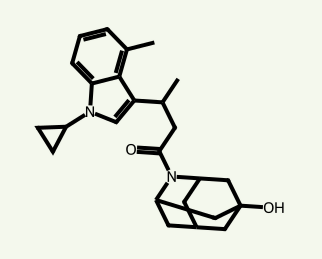 Cc1cccc2c1c(C(C)CC(=O)N1C3CC4CC1CC(O)(C4)C3)cn2C1CC1